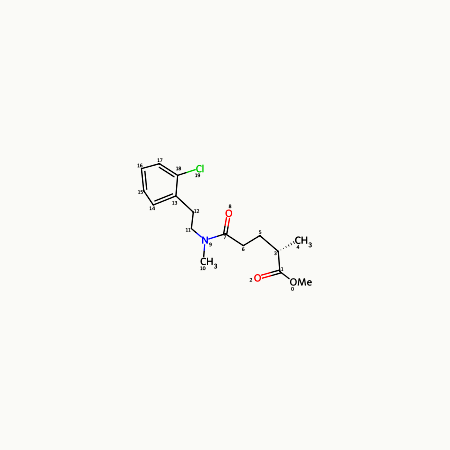 COC(=O)[C@@H](C)CCC(=O)N(C)CCc1ccccc1Cl